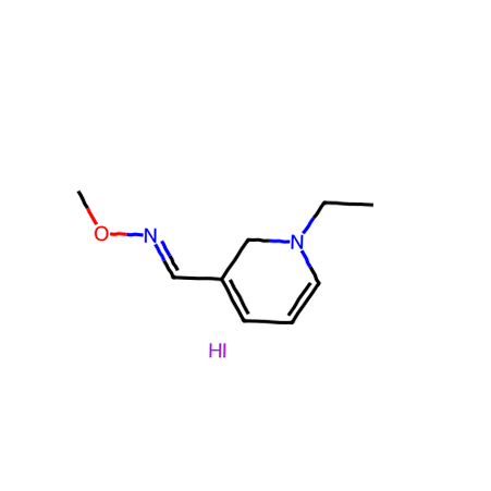 CCN1C=CC=C(/C=N/OC)C1.I